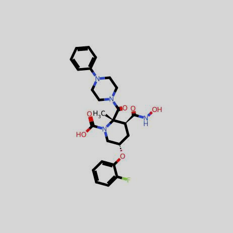 C[C@@]1(C(=O)N2CCN(c3ccccc3)CC2)[C@@H](C(=O)NO)C[C@H](Oc2ccccc2F)CN1C(=O)O